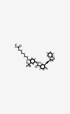 COC(=O)CCCCCCCc1ccc(NC(=O)c2ccc(C)c(C#Cc3cnc4cccnn34)c2)cc1C(F)(F)F